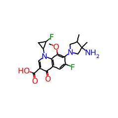 COc1c(N2CC(C)C(C)(N)C2)c(F)cc2c(=O)c(C(=O)O)cn(C3CC3F)c12